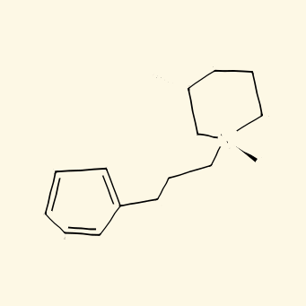 C[C@@H]1CCC[N@+](C)(CCCc2ccccc2)C1